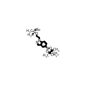 CC1(C)OB(c2ccc3c(cnn3CCO[Si](C)(C)C(C)(C)C)c2)OC1(C)C